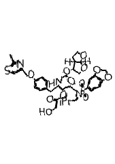 Cc1nc(COc2ccc(CC(NC(=O)O[C@H]3CO[C@H]4OCC[C@H]43)C(CN(CC(C)C)S(=O)(=O)c3ccc4c(c3)OCO4)OC(=O)CO)cc2)cs1